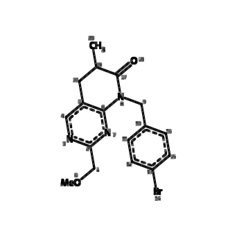 COCc1ncc2c(n1)N(Cc1ccc(Br)cc1)C(=O)C(C)C2